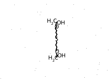 C=C(O)COCCCCCSCCCCCOCC(=C)O